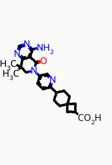 CC1(C)CN(c2ccc(C3CCC4(CC3)CC(C(=O)O)C4)nc2)C(=O)c2c(N)ncnc21